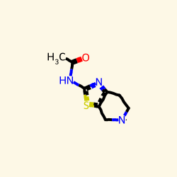 CC(=O)Nc1nc2c(s1)C[N]CC2